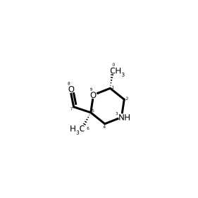 C[C@@H]1CNC[C@@](C)(C=O)O1